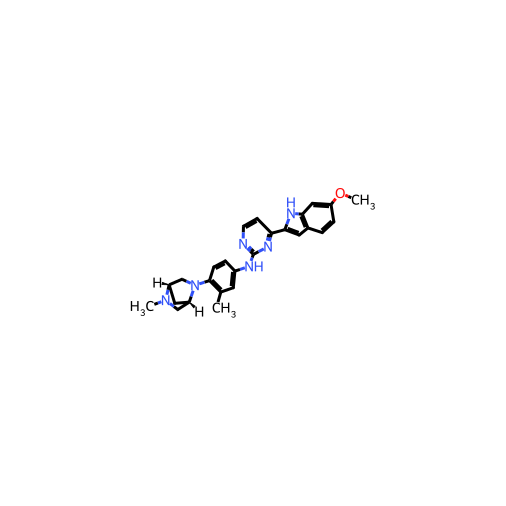 COc1ccc2cc(-c3ccnc(Nc4ccc(N5C[C@@H]6C[C@H]5CN6C)c(C)c4)n3)[nH]c2c1